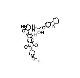 CN1CCC(N2C(=O)c3cc4nc(-c5c(NCC(O)COc6ccc7c(c6)N=C6C=CC=CC67)cc[nH]c5=O)[nH]c4cc3C2=O)CC1